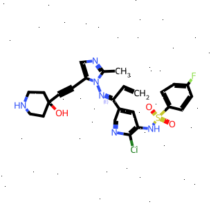 C=C/C(=N\n1c(C#CC2(O)CCNCC2)cnc1C)c1cnc(Cl)c(NS(=O)(=O)c2ccc(F)cc2)c1